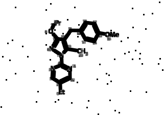 CCc1cnc(-n2nc(OC(C)C)c(Cc3ccc(OC)cc3)c2C)nc1